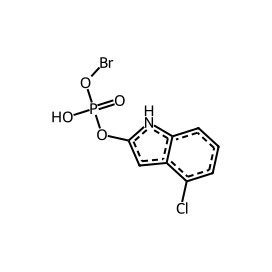 O=P(O)(OBr)Oc1cc2c(Cl)cccc2[nH]1